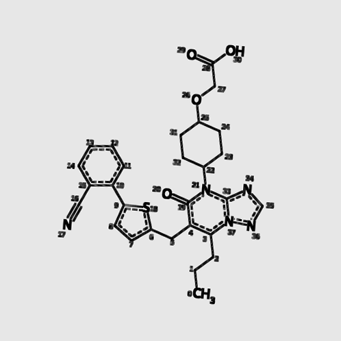 CCCc1c(Cc2ccc(-c3ccccc3C#N)s2)c(=O)n(C2CCC(OCC(=O)O)CC2)c2ncnn12